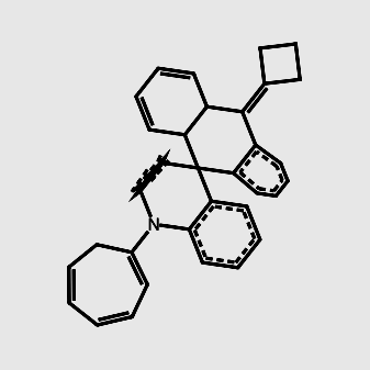 C1=CC=C(N2c3ccccc3C3(c4ccccc4C(=C4CCC4)C4C=CC=CC43)c3ccccc32)CC=C1